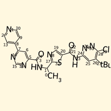 CC(NC(=O)c1cc(-c2ccncc2)ncn1)c1ncc(C(=O)Nc2cc(C(C)(C)C)c(Cl)nn2)s1